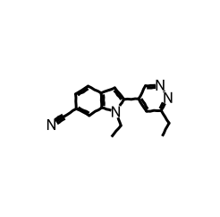 CCc1cc(-c2cc3ccc(C#N)cc3n2CC)cnn1